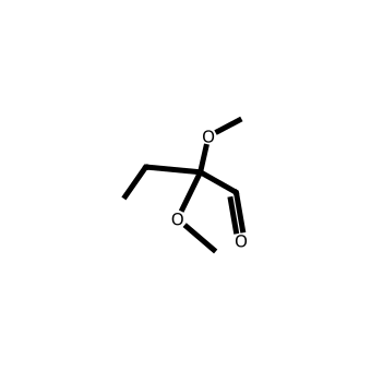 CCC(C=O)(OC)OC